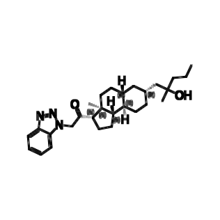 CCCC(C)(O)C[C@@H]1CC[C@@H]2[C@H](CC[C@]3(C)[C@@H](C(=O)Cn4nnc5ccccc54)CC[C@@H]23)C1